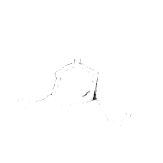 [CH2]c1cncc(C(=O)O)c1